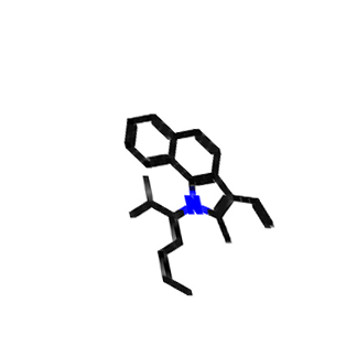 C=Cc1c(C)n(/C(=C/C=C\C)C(C)C)c2c1ccc1ccccc12